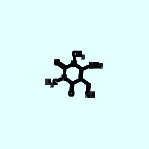 CSc1c(C=N)c(=O)n(C)c(=O)n1C